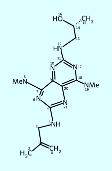 C=C(C)CNc1nc(NC)c2nc(NC[C@@H](C)O)nc(NC)c2n1